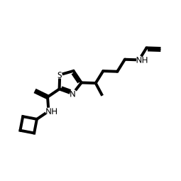 C=CNCCCC(C)c1csc(C(=C)NC2CCC2)n1